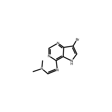 CN(C)/C=N\c1ncnc2c(Br)c[nH]c12